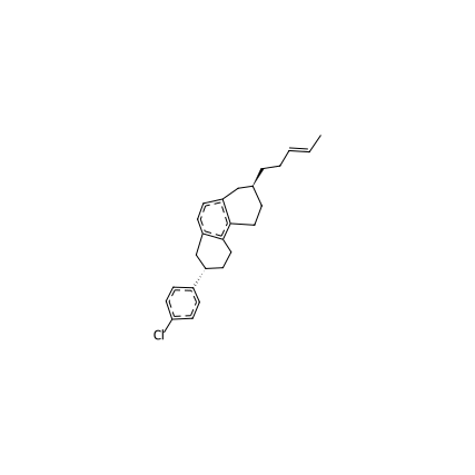 CC=CCC[C@H]1CCc2c(ccc3c2CC[C@H](c2ccc(Cl)cc2)C3)C1